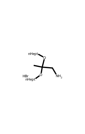 Br.CCCCCCCOC(C)(CN)OCCCCCCC